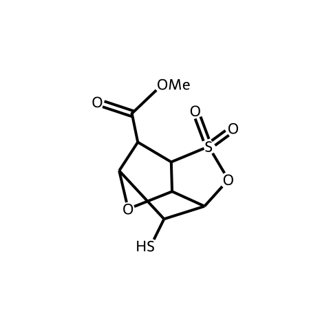 COC(=O)C1C2OC3C(OS(=O)(=O)C31)C2S